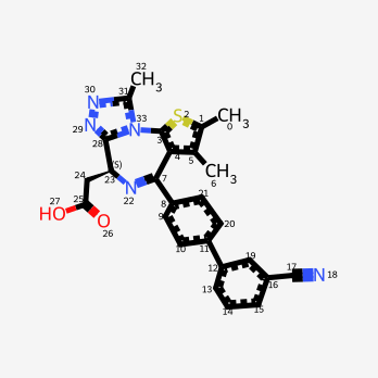 Cc1sc2c(c1C)C(c1ccc(-c3cccc(C#N)c3)cc1)=N[C@@H](CC(=O)O)c1nnc(C)n1-2